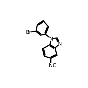 [C-]#[N+]c1ccc2c(c1)ncn2-c1cccc(Br)c1